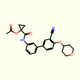 CC(=O)OC1(C(=O)Nc2cccc(-c3ccc(OC4CCOCC4)c(C#N)c3)c2)CC1